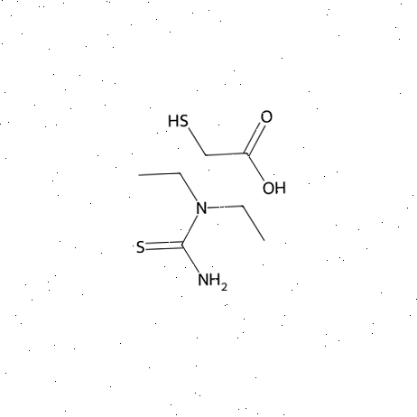 CCN(CC)C(N)=S.O=C(O)CS